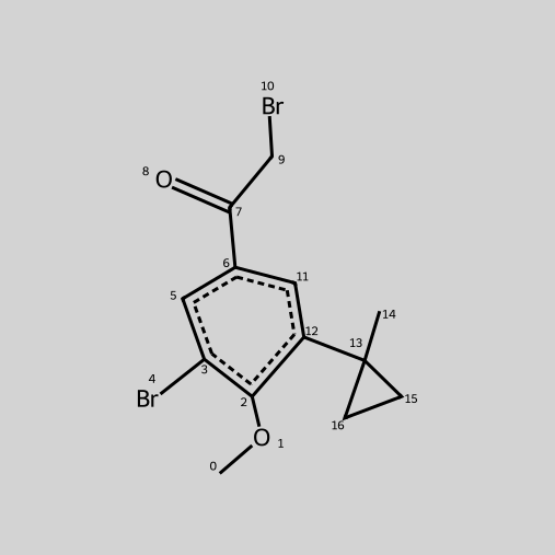 COc1c(Br)cc(C(=O)CBr)cc1C1(C)CC1